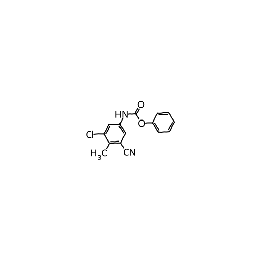 Cc1c(Cl)cc(NC(=O)Oc2ccccc2)cc1C#N